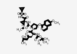 C=C[C@@H]1C[C@]1(NC(=O)[C@@H]1C[C@@H](Oc2nccc3cc(OC)ccc23)CN1C(=O)[C@H](CC(=O)C=C(C)C)NC(=O)OC(C)(C)C)C(=O)NS(=O)(=O)C1CC1